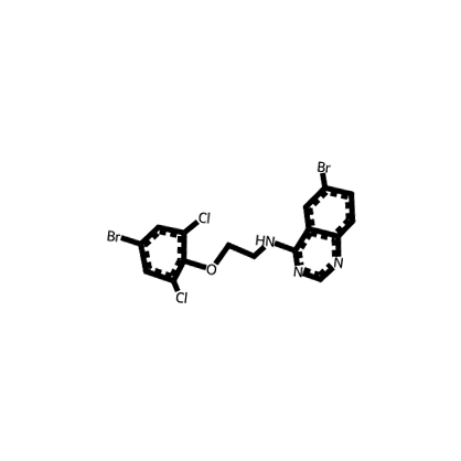 Clc1cc(Br)cc(Cl)c1OCCNc1ncnc2ccc(Br)cc12